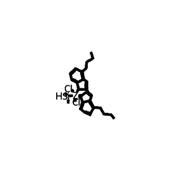 CCCCc1cccc2c1C=C(C)[CH]2[Zr]([Cl])([Cl])([CH]1C(C)=Cc2c(CCCC)cccc21)[SiH](C)C